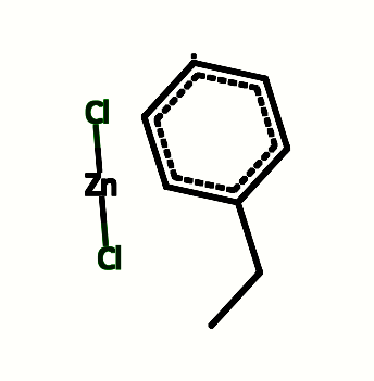 CCc1cc[c]cc1.[Cl][Zn][Cl]